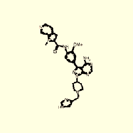 COc1cc(-c2nn(C3CCN(Cc4c[nH]cn4)CC3)c3ncnc(N)c23)ccc1NC(=O)c1cc2ccncc2n1C